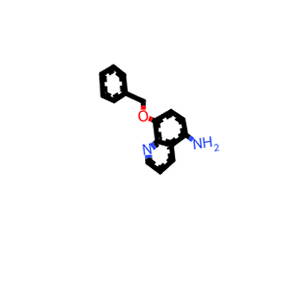 Nc1ccc(OCc2ccccc2)c2ncccc12